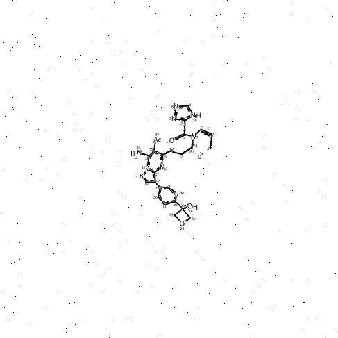 C/C=C\N(C(=O)c1nnc[nH]1)[C@H](C)CCc1nc2c(-c3ccc(C4(O)COC4)nc3)cnn2c(N)c1C(C)=O